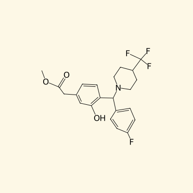 COC(=O)Cc1ccc(C(c2ccc(F)cc2)N2CCC(C(F)(F)F)CC2)c(O)c1